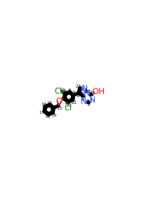 Oc1ncnc2c(-c3cc(Cl)c(OCc4ccccc4)c(Cl)c3)cnn12